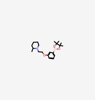 CC1CCCCN1CCOc1cccc(B2OC(C)(C)C(C)(C)O2)c1